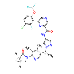 Cc1c([C@@H](C)n2cc(NC(=O)c3cncc(-c4c(OC(F)F)ccc(Cl)c4F)n3)cn2)cnc(N2C[C@H]3C[C@H]3C2=O)c1C